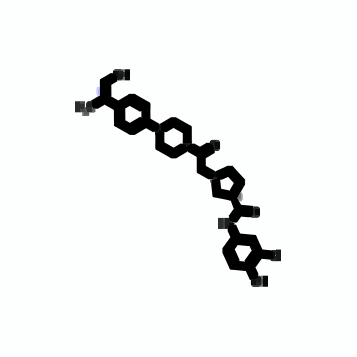 C/C(=C/O)c1ccc(N2CCN(C(=O)CN3CC[C@@H](C(=O)Nc4ccc(O)c(Cl)c4)C3)CC2)cc1